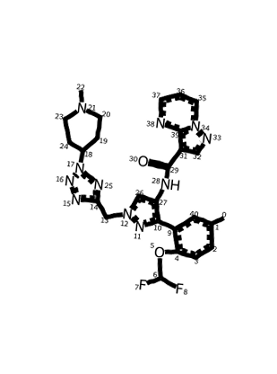 Cc1ccc(OC(F)F)c(-c2nn(Cc3nnn(C4CCN(C)CC4)n3)cc2NC(=O)c2cnn3cccnc23)c1